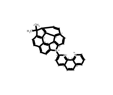 CC1(C)c2ccc3ccc4c5c3c2c2c1ccc1ccc(c5c12)n4-c1ccc2ccc3cccnc3c2n1